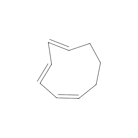 C1=C\CCC/C=C/C=C/1